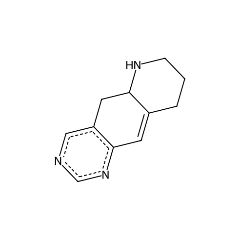 C1=C2CCCNC2Cc2cncnc21